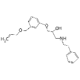 C=CCOCc1cccc(OCC(O)CNCCc2ccccc2)c1